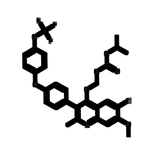 COc1cc2nc(C)c(-c3ccc(Oc4ccc(OC(F)(F)F)cc4)cc3)c(OCOC(=O)OC(C)C)c2cc1Cl